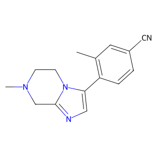 Cc1cc(C#N)ccc1-c1cnc2n1CCN(C)C2